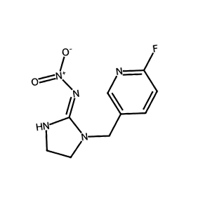 O=[N+]([O-])N=C1NCCN1Cc1ccc(F)nc1